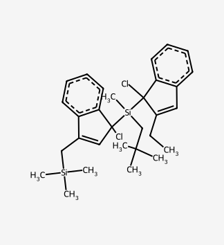 CCC1=Cc2ccccc2C1(Cl)[Si](C)(CC(C)(C)C)C1(Cl)C=C(C[Si](C)(C)C)c2ccccc21